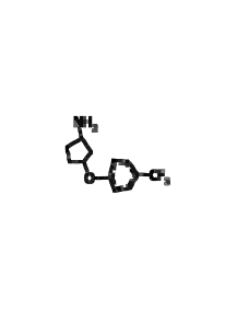 NC1CCC(Oc2ccc(C(F)(F)F)cc2)C1